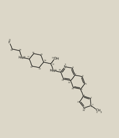 Cn1cc(-c2ccc3cnc(NC(O)C4CCC(NCCF)CC4)cc3c2)cn1